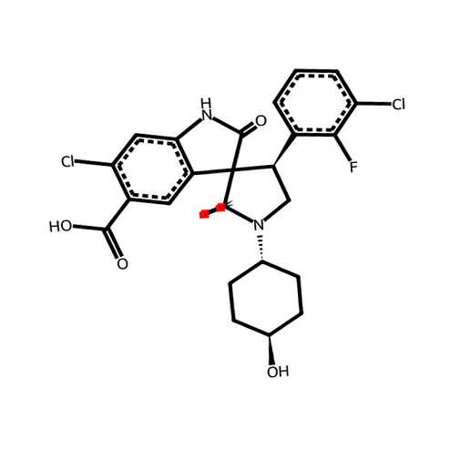 O=C(O)c1cc2c(cc1Cl)NC(=O)C21[C@@H](c2cccc(Cl)c2F)CN([C@H]2CC[C@H](O)CC2)C12CCCCC2